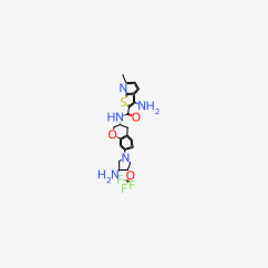 Cc1ccc2c(N)c(C(=O)N[C@H]3COc4cc(N5C[C@H](OC(F)(F)F)[C@@H](N)C5)ccc4C3)sc2n1